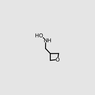 ONCC1COC1